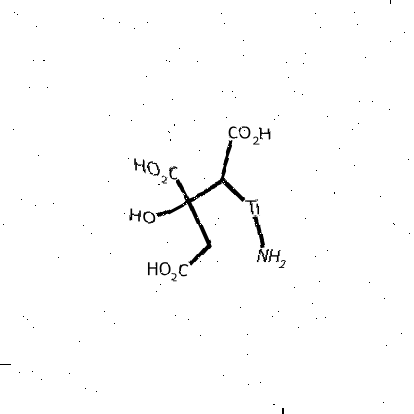 [NH2][Ti][CH](C(=O)O)C(O)(CC(=O)O)C(=O)O